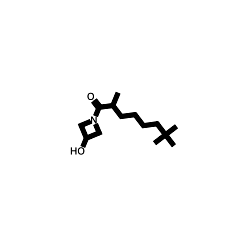 CC(CCCCC(C)(C)C)C(=O)N1CC(O)C1